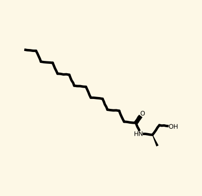 CCCCCCCCCCCCCC(=O)N[C@H](C)CO